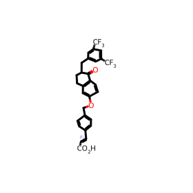 O=C(O)/C=C/c1ccc(COc2ccc3c(c2)CCC(Cc2cc(C(F)(F)F)cc(C(F)(F)F)c2)C3=O)cc1